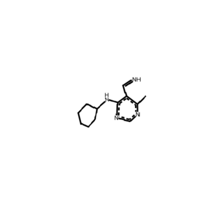 Cc1ncnc(NC2CCCCC2)c1C=N